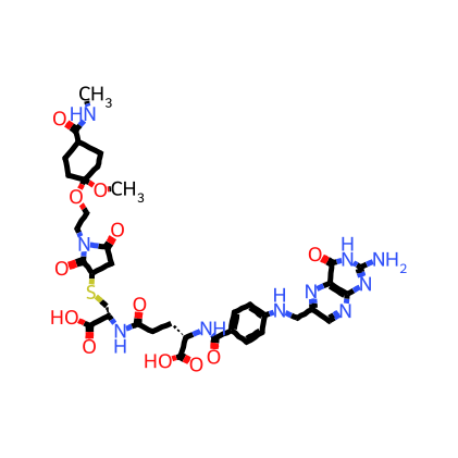 CNC(=O)C1CCC(OC)(OCCN2C(=O)CC(SC[C@H](NC(=O)CC[C@H](NC(=O)c3ccc(NCc4cnc5nc(N)[nH]c(=O)c5n4)cc3)C(=O)O)C(=O)O)C2=O)CC1